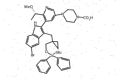 CO[C@@H](C)c1ncc(N2CCN(C(=O)O)CC2)cc1-c1[nH]c2ccc(Br)cc2c1CC1(CO[Si](c2ccccc2)(c2ccccc2)C(C)(C)C)CC1